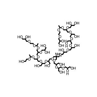 CC(OCCOCC(O)CO)OCC(COC(CO)COC(CO)COC(CO)COCC(O)COCC(N)(COCC(CO)OCC(CO)OCC(COC(C)OCCO)OCC(COC(C)OCCOCC(O)CO)OCC(O)CO)COCC(CO)OC(CO)COCC(O)CO)OCC(O)CO